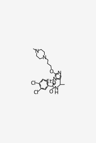 CCn1c(C(C)NS(=O)(=O)c2ccc(Cl)c(Cl)c2)cnc1OCCCN1CCN(C)CC1